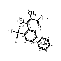 CC(C(N)=O)=C(C)c1ccccc1C(F)(F)F.c1cc2ccc1CO2